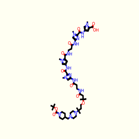 Cn1cc(NC(=O)c2nc(NC(=O)CCNC(=O)c3cc(NC(=O)c4nc(NC(=O)CCNC(=O)CC(C)(C)OCCC(C)(C)N5CCN(CC6CCN(C(=O)OC(C)(C)C)CC6)CC5)cn4C)cn3C)cn2C)cc1C(=O)O